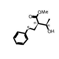 COC(=O)[C@H](CSc1ccccc1)[C@@H](C)O